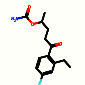 CCc1cc(F)ccc1C(=O)CCC(C)OC(N)=O